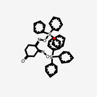 O=C1CCC(=N/O[Si](c2ccccc2)(c2ccccc2)c2ccccc2)/C(=N/O[Si](c2ccccc2)(c2ccccc2)c2ccccc2)C1